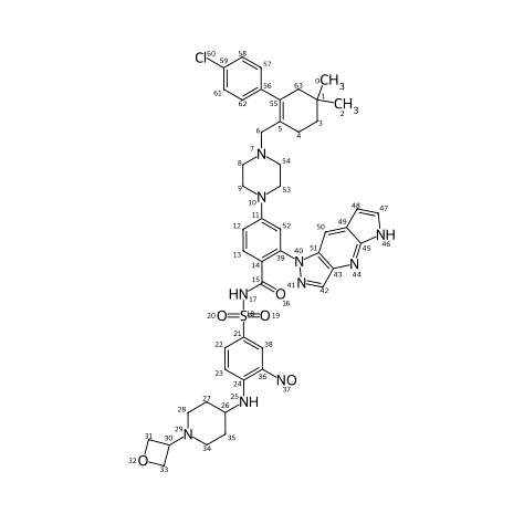 CC1(C)CCC(CN2CCN(c3ccc(C(=O)NS(=O)(=O)c4ccc(NC5CCN(C6COC6)CC5)c(N=O)c4)c(-n4ncc5nc6[nH]ccc6cc54)c3)CC2)=C(c2ccc(Cl)cc2)C1